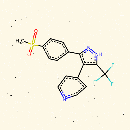 CS(=O)(=O)c1ccc(-c2n[nH]c(C(F)(F)F)c2-c2ccncc2)cc1